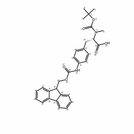 CN(C(=O)OC(C)(C)C)[C@@H](Cc1ccc(NC(=O)OCC2c3ccccc3-c3ccccc32)cc1)C(=O)O